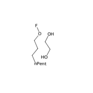 CCCCCCCCOF.OCCO